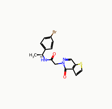 C[C@H](NC(=O)Cn1ncc2sccc2c1=O)c1ccc(Br)cc1